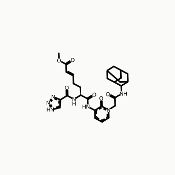 COC(=O)/C=C/CC[C@H](NC(=O)c1c[nH]nn1)C(=O)Nc1cccn(CC(=O)NC2C3CC4CC(C3)CC2C4)c1=O